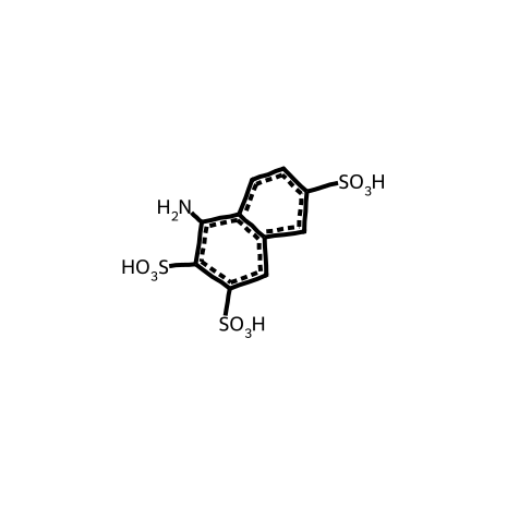 Nc1c(S(=O)(=O)O)c(S(=O)(=O)O)cc2cc(S(=O)(=O)O)ccc12